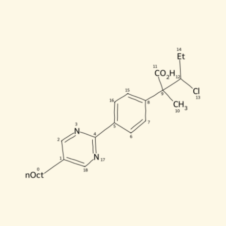 CCCCCCCCc1cnc(-c2ccc(C(C)(C(=O)O)C(Cl)CC)cc2)nc1